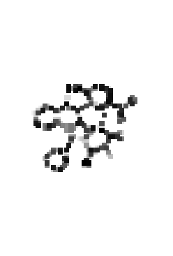 Cn1c(=O)c2c(-c3ccccc3)n3c(c2n(C)c1=O)C(c1cc([N+](=O)[O-])ccc1O)Nc1ccccc1-3